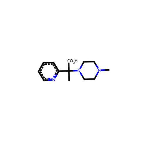 CN1CCN(C(C)(C(=O)O)c2ccccn2)CC1